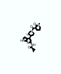 C[C@@H]1CN(C(=O)c2cccn(C)c2=O)CC=C1c1cc(NC(=O)C2CC2)nc2[nH]ccc12